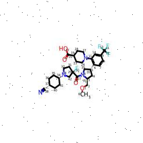 COC[C@@H]1C[C@@H](c2ccc(C(F)(F)F)cc2N2CCC(C(=O)O)CC2)CN1C(=O)[C@@]1(F)CCN([C@H]2CC[C@@H](C#N)CC2)C1